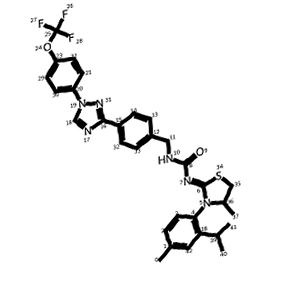 Cc1ccc(N2/C(=N/C(=O)NCc3ccc(-c4ncn(-c5ccc(OC(F)(F)F)cc5)n4)cc3)SCC2C)c(C(C)C)c1